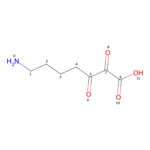 NCCCCC(=O)C(=O)C(=O)O